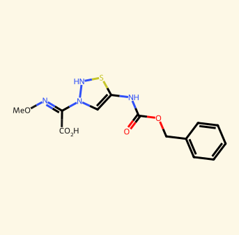 CO/N=C(\C(=O)O)N1C=C(NC(=O)OCc2ccccc2)SN1